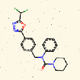 O=C(N1CCCCC1)N(Cc1ccc(-c2nnc(C(F)F)o2)cc1)c1ccccc1